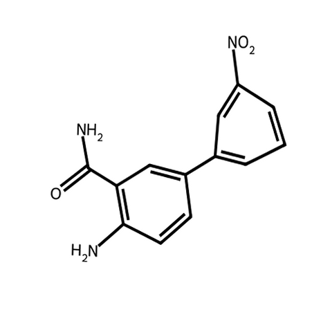 NC(=O)c1cc(-c2cccc([N+](=O)[O-])c2)ccc1N